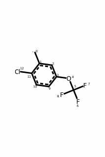 [CH2]c1cc(OC(F)(F)F)ccc1Cl